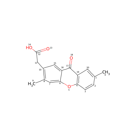 Cc1ccc2oc3cc(C)c(CC(=O)O)cc3c(=O)c2c1